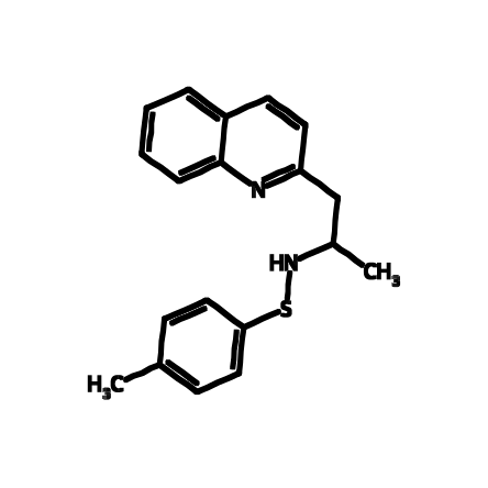 Cc1ccc(SNC(C)Cc2ccc3ccccc3n2)cc1